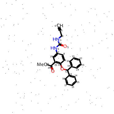 C#CCNC(=O)Nc1ccc(OC(c2ccccc2)c2ccccc2)c(C(=O)OC)c1